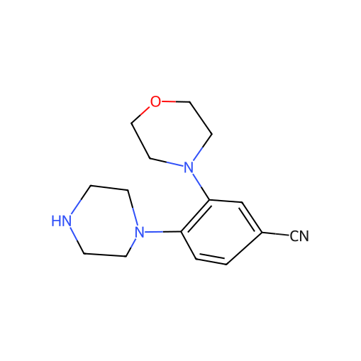 N#Cc1ccc(N2CCNCC2)c(N2CCOCC2)c1